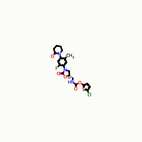 Cc1cc(N2C[C@H](CNC(=O)Oc3ccc(Cl)s3)OC2=O)c(F)cc1N1CCCCC1=O